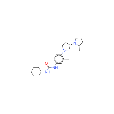 Cc1cc(NC(=O)NC2CCCCC2)ccc1N1CCC(N2CCCC2C)C1